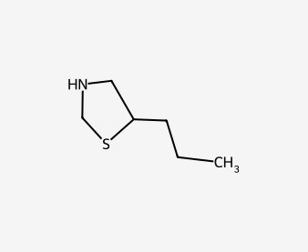 CCCC1CNCS1